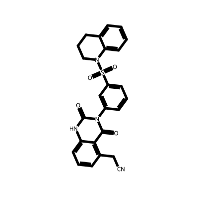 N#CCc1cccc2[nH]c(=O)n(-c3cccc(S(=O)(=O)N4CCCc5ccccc54)c3)c(=O)c12